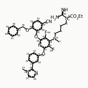 CCOC(=O)N(CCCCN(C)c1c(F)c(Oc2cccc(-c3nccn3C)c2)nc(Oc2cc(C#N)ccc2OCc2ccccc2)c1F)C(=N)N